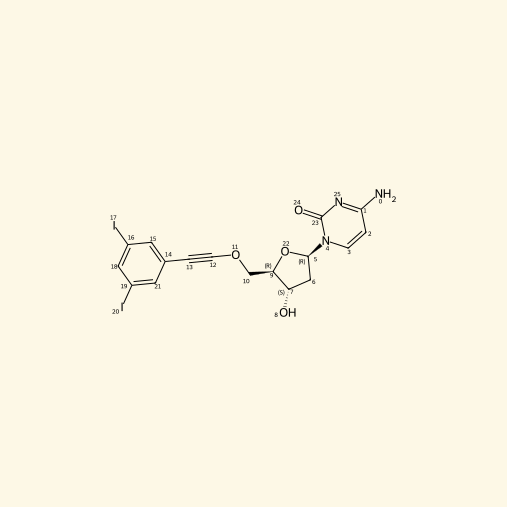 Nc1ccn([C@H]2C[C@H](O)[C@@H](COC#Cc3cc(I)cc(I)c3)O2)c(=O)n1